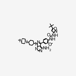 COc1cc(-c2nn(C3CCC(N4CCN(C)CC4)CC3)c3ncnc(N)c23)ccc1NC(=O)Nc1cc(C(C)(C)C)on1